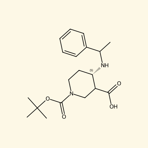 CC(N[C@H]1CCN(C(=O)OC(C)(C)C)CC1C(=O)O)c1ccccc1